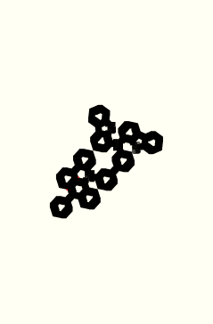 c1ccc(-c2ccccc2N(c2cccc(-c3cccc(N(c4cccc5c4sc4ccccc45)c4cccc5c4sc4ccccc45)c3)c2)c2ccc(-c3ccccc3)c3ccccc23)cc1